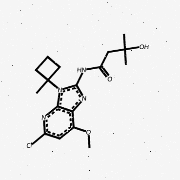 COc1cc(Cl)nc2c1nc(NC(=O)CC(C)(C)O)n2C1(C)CCC1